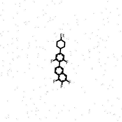 CCC1CCC(c2cc(F)c(-c3ccc4c(F)c(F)c(F)cc4c3)c(F)c2)CC1